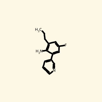 CCCc1cc(F)cc(-c2cccnc2)c1N